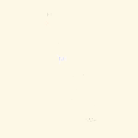 CCOCCCCNCCC(C)CC1(c2ccc(SC)cc2)CCC1